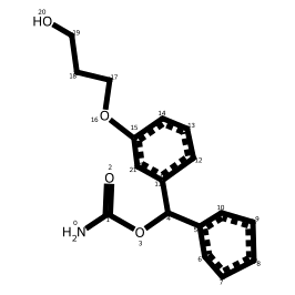 NC(=O)OC(c1ccccc1)c1cccc(OCCCO)c1